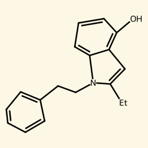 CCc1cc2c(O)cccc2n1CCc1ccccc1